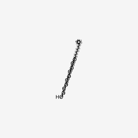 OCCOCCOCCOCCOCCOCCOCCOCCOCCOCCCCCCCCCCc1ccccc1